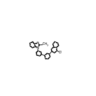 CCc1nc2ccccc2n1-c1cccc(-c2cccc(-c3cc(Cl)c4ccccc4c3)c2)c1